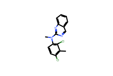 Cc1c(Cl)ccc(N(C)c2ncc3ccccc3n2)c1Cl